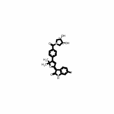 CC1(C)OC(=C2C(=O)Nc3cc(F)ccc32)C=C1c1ccc(C(=O)N2C[C@H](O)[C@@H](O)C2)cc1